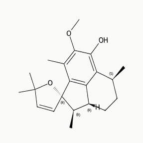 COc1c(C)c2c3c(c1O)[C@@H](C)CC[C@@H]3[C@@H](C)[C@@]21C=CC(C)(C)O1